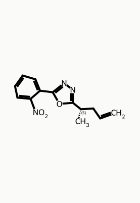 C=CC[C@H](C)c1nnc(-c2ccccc2[N+](=O)[O-])o1